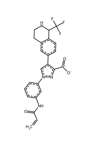 C=CC(=O)Nc1cccc(-n2cc(-c3ccc4c(c3)CCNC4C(F)(F)F)c([N+](=O)[O-])n2)c1